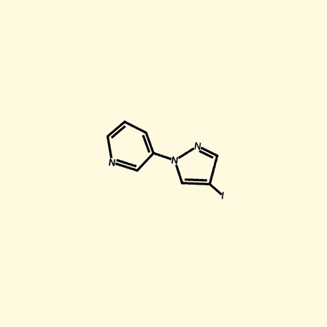 Ic1cnn(-c2cccnc2)c1